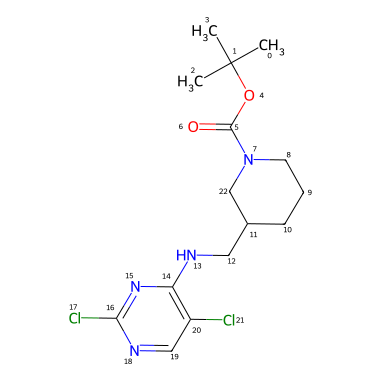 CC(C)(C)OC(=O)N1CCCC(CNc2nc(Cl)ncc2Cl)C1